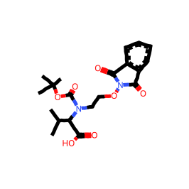 CC(C)C(C(=O)O)N(CCON1C(=O)c2ccccc2C1=O)C(=O)OC(C)(C)C